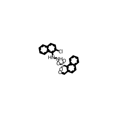 O=Cc1ccc2ccccc2c1S(=O)(=O)ONNc1c(Cl)ccc2ccccc12